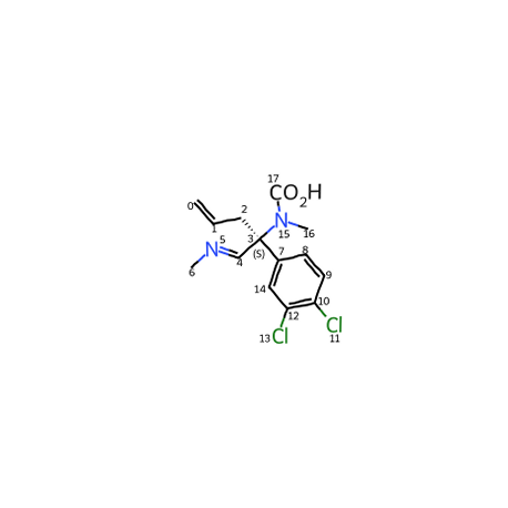 C=CC[C@@](C=NC)(c1ccc(Cl)c(Cl)c1)N(C)C(=O)O